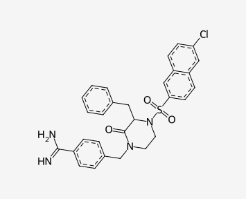 N=C(N)c1ccc(CN2CCN(S(=O)(=O)c3ccc4cc(Cl)ccc4c3)C(Cc3ccccc3)C2=O)cc1